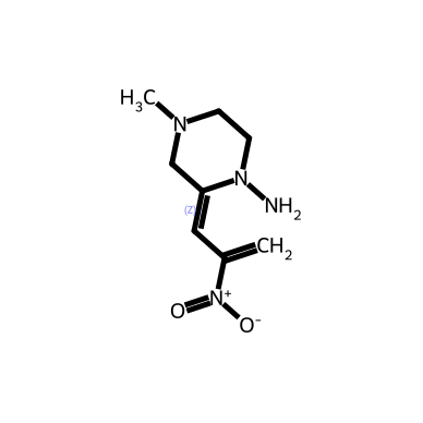 C=C(/C=C1/CN(C)CCN1N)[N+](=O)[O-]